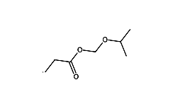 [CH2]CC(=O)OCOC(C)C